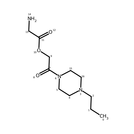 CCCN1CCN(C(=O)COC(=O)CN)CC1